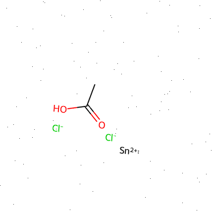 CC(=O)O.[Cl-].[Cl-].[Sn+2]